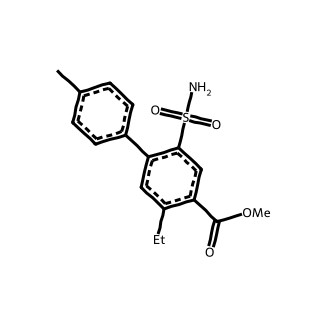 CCc1cc(-c2ccc(C)cc2)c(S(N)(=O)=O)cc1C(=O)OC